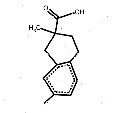 CC1(C(=O)O)CCc2ccc(F)cc2C1